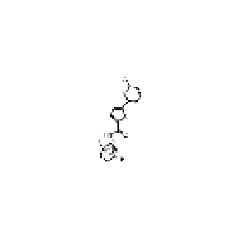 O=C(N[C@@H]1C[C@H]2CC[C@@H]1N2)c1ccc(-c2cccc(Cl)n2)s1